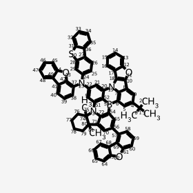 CC(C)(C)c1cc2c3c(c1)c1oc4ccccc4c1n3-c1cc(N(c3ccc4c(c3)sc3ccccc34)c3cccc4c3oc3ccccc34)cc3c1B2c1cc(-c2cccc4oc5ccccc5c24)cc2c1N3C1(C)CCCCC21C